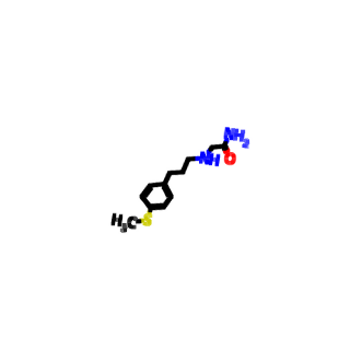 CSc1ccc(CCCNCC(N)=O)cc1